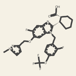 Cn1ccc(COc2cc3c(cc2F)nc([C@H]2CCCC[C@H]2C(=O)O)n3Cc2ccc(OC(F)(F)F)cc2F)n1